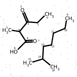 CCC(=O)C(C)C(=O)O.CCCCCC(C)C